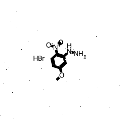 Br.COc1ccc([N+](=O)[O-])c(NN)c1